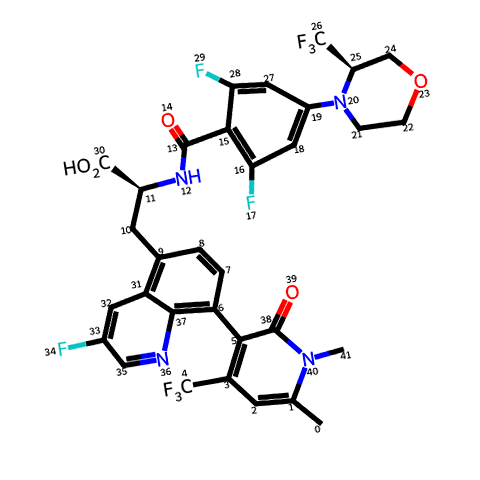 Cc1cc(C(F)(F)F)c(-c2ccc(C[C@H](NC(=O)c3c(F)cc(N4CCOC[C@@H]4C(F)(F)F)cc3F)C(=O)O)c3cc(F)cnc23)c(=O)n1C